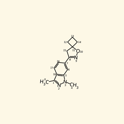 Cc1nn(C)c2cc(C3=NOC4(CCC4)C3)ccc12